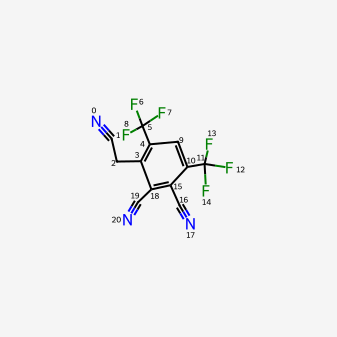 N#CCc1c(C(F)(F)F)cc(C(F)(F)F)c(C#N)c1C#N